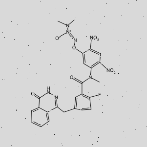 CN(C(=O)c1cc(Cc2n[nH]c(=O)c3ccccc23)ccc1F)c1cc(O/N=[N+](\[O-])N(C)C)c([N+](=O)[O-])cc1[N+](=O)[O-]